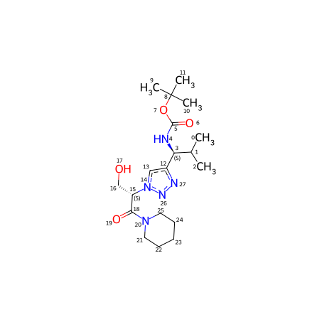 CC(C)[C@H](NC(=O)OC(C)(C)C)c1cn([C@@H](CO)C(=O)N2CCCCC2)nn1